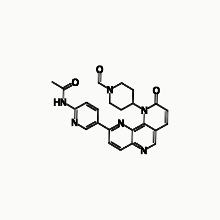 CC(=O)Nc1ccc(-c2ccc3ncc4ccc(=O)n(C5CCN(C=O)CC5)c4c3n2)cn1